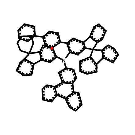 c1ccc(-c2ccc(-c3cc4c(cc3N(c3ccc5c(c3)-c3ccccc3C53CCCCC3)c3ccc5c6ccccc6c6ccccc6c5c3)C3(c5ccccc5-c5ccccc53)c3ccccc3-4)cc2)cc1